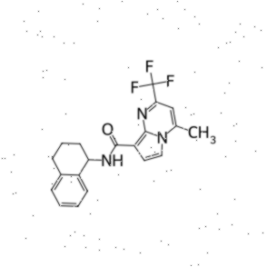 Cc1cc(C(F)(F)F)nc2c(C(=O)NC3CCCc4ccccc43)ccn12